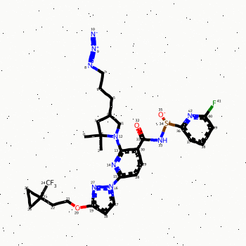 CC1(C)CC(CCCN=[N+]=[N-])CN1c1nc(-n2ccc(OCCC3(C(F)(F)F)CC3)n2)ccc1C(=O)N[S+]([O-])c1cccc(F)n1